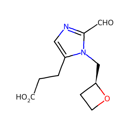 O=Cc1ncc(CCC(=O)O)n1C[C@@H]1CCO1